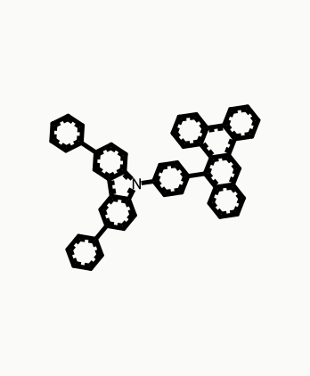 c1ccc(-c2ccc3c(c2)c2cc(-c4ccccc4)ccc2n3-c2ccc(-c3c4ccccc4cc4c5ccccc5c5ccccc5c34)cc2)cc1